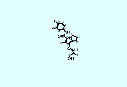 Cc1c(SNC(C)CO)c2n(c1C(=O)Nc1ccc(F)c(F)c1)CCC2